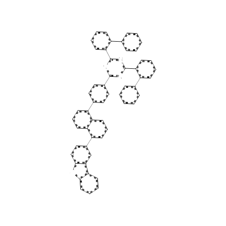 c1ccc(-c2ccccc2-c2nc(-c3ccc(-c4cccc5c(-c6ccc7oc8ccccc8c7c6)cccc45)cc3)nc(-c3ccccc3-c3ccccc3)n2)cc1